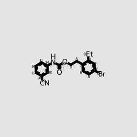 CCc1cc(Br)ccc1CCOC(=O)Nc1cccc(C#N)c1